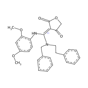 COc1ccc(N/C(=C2/C(=O)COC2=O)N(CCc2ccccc2)Cc2ccccc2)c(OC)c1